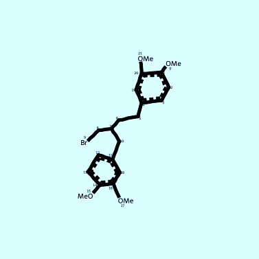 COc1ccc(CCC(CBr)Cc2ccc(OC)c(OC)c2)cc1OC